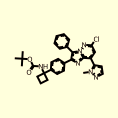 Cn1nccc1-c1cc(Cl)nn2c(-c3ccccc3)c(-c3ccc(C4(NC(=O)OC(C)(C)C)CCC4)cc3)nc12